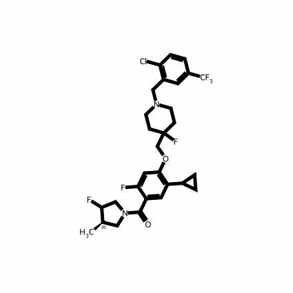 C[C@@H]1CN(C(=O)c2cc(C3CC3)c(OCC3(F)CCN(Cc4cc(C(F)(F)F)ccc4Cl)CC3)cc2F)CC1F